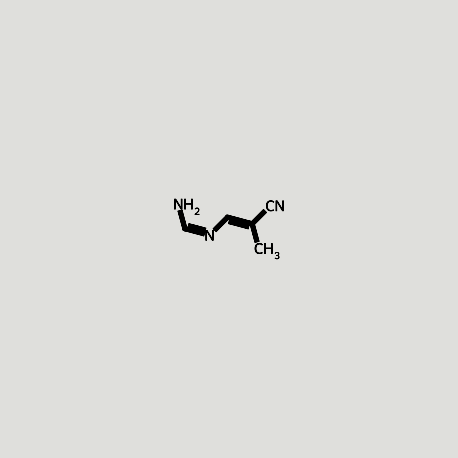 C/C(C#N)=C\N=C/N